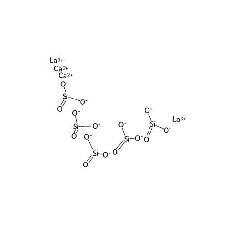 O=[Si]([O-])[O-].O=[Si]([O-])[O-].O=[Si]([O-])[O-].O=[Si]([O-])[O-].O=[Si]([O-])[O-].[Ca+2].[Ca+2].[La+3].[La+3]